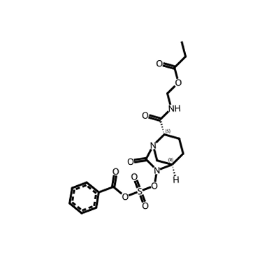 CCC(=O)OCNC(=O)[C@@H]1CC[C@@H]2CN1C(=O)N2OS(=O)(=O)OC(=O)c1ccccc1